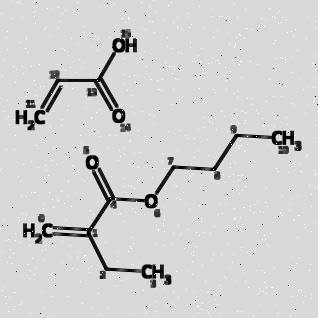 C=C(CC)C(=O)OCCCC.C=CC(=O)O